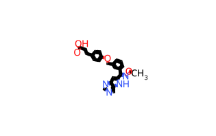 CO/N=C(\c1cccc(COc2ccc(CCC(=O)O)cc2)c1)c1cc2ncncc2[nH]1